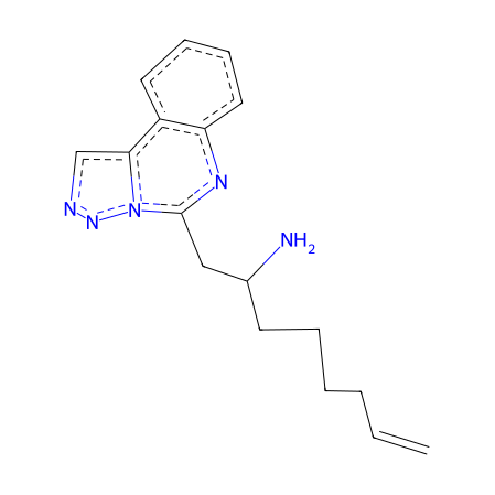 C=CCCCCC(N)Cc1nc2ccccc2c2cnnn12